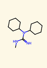 CNC(=N)N(C1CCCCC1)C1CCCCC1